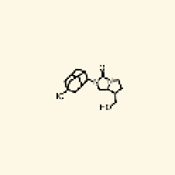 O=C1N2CCC(CO)C2CN1C1C2CC3CC1CC(O)(C3)C2